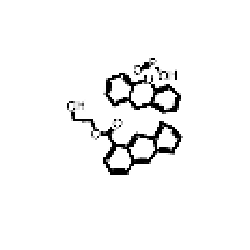 O=C(OCCO)c1cccc2cc3ccccc3cc12.O=PO.c1ccc2c(c1)Cc1ccccc1O2